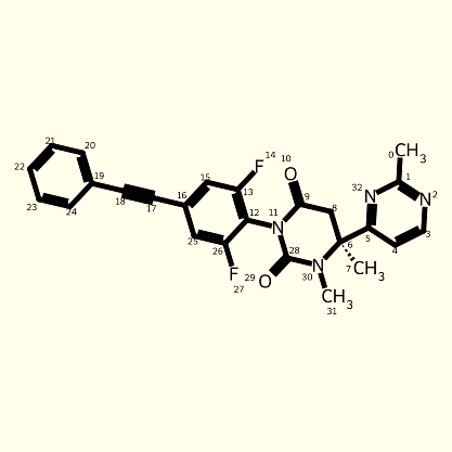 Cc1nccc([C@]2(C)CC(=O)N(c3c(F)cc(C#Cc4ccccc4)cc3F)C(=O)N2C)n1